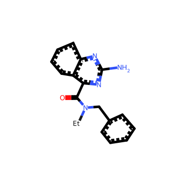 CCN(Cc1ccccc1)C(=O)c1nc(N)nc2ccccc12